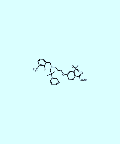 COC(=O)c1ccc(OCCCN(Cc2cccc(C(F)(F)F)c2F)CC(C)(C)c2ccccc2)cc1S(C)(=O)=O